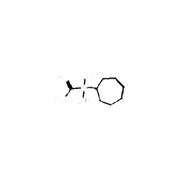 C=C(C)[Si](C)(C)C1CCCCCC1